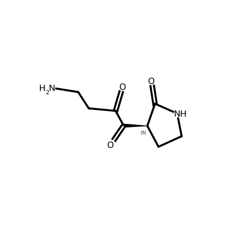 NCCC(=O)C(=O)[C@@H]1CCNC1=O